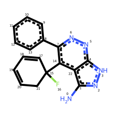 Nc1n[nH]c2nnc(-c3ccccc3)c(C3(F)C=CC=CC3)c12